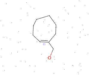 [O]C/C1=C/CCCCCC1